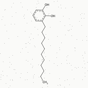 CCCCCCCCCCCc1cccc(O)c1O